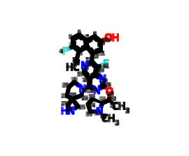 C#Cc1c(F)ccc2cc(O)cc(-c3ncc4c(N5CCCC6(CNC6)C5)nc(O[C@@H](C)[C@@H]5CCCN5C)nc4c3F)c12